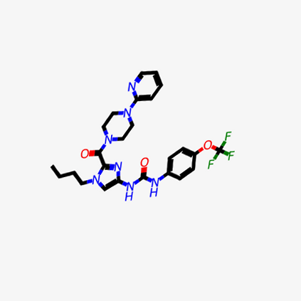 CCCCn1cc(NC(=O)Nc2ccc(OC(F)(F)F)cc2)nc1C(=O)N1CCN(c2ccccn2)CC1